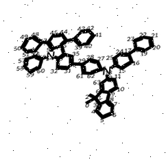 CC1(C)c2ccccc2-c2ccc(N(c3ccc(-c4ccccc4)cc3)c3ccc(-c4ccc5c(c4)c4c(-c6ccccc6)ccc(-c6ccccc6)c4n5-c4ccccc4)cc3)cc21